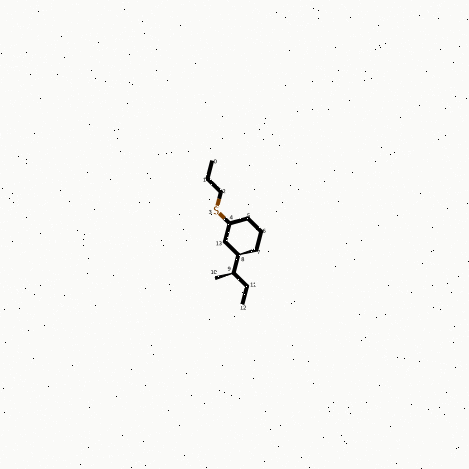 CCCSC1CCC[C@@H]([C@H](C)CC)C1